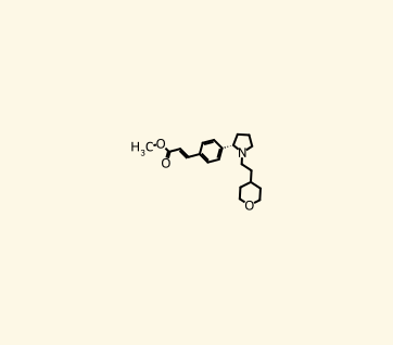 COC(=O)C=Cc1ccc([C@@H]2CCCN2CCC2CCOCC2)cc1